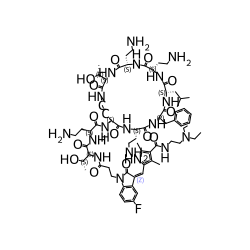 CCN(CC)CCNC(=O)c1c(C)[nH]c(/C=C2\C(=O)N(CCC(=O)N[C@H](C(=O)N[C@@H](CCN)C(=O)N[C@H]3CCNC(=O)[C@H]([C@@H](C)O)NC(=O)[C@H](CCN)NC(=O)[C@H](CCN)NC(=O)[C@H](CC(C)C)NC(=O)[C@@H](Cc4ccccc4)NC(=O)[C@H](CCN)NC3=O)[C@H](C)O)c3ccc(F)cc32)c1C